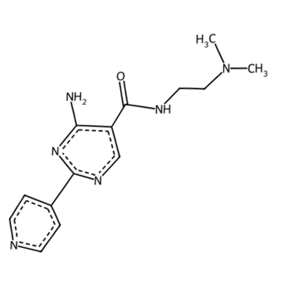 CN(C)CCNC(=O)c1cnc(-c2ccncc2)nc1N